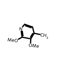 COc1nccc(C)c1OC